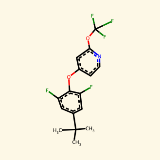 CC(C)(C)c1cc(F)c(Oc2ccnc(OC(F)(F)F)c2)c(F)c1